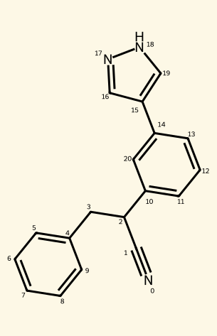 N#CC(Cc1ccccc1)c1cccc(-c2cn[nH]c2)c1